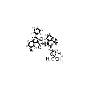 CC(C)(C)OC(=O)CCC(CNC(=O)c1c(Cl)c(-c2ccccc2)nc2ccc(Br)cc12)c1ccccc1C(F)(F)F